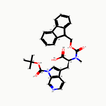 CN(C(=O)OCC1c2ccccc2-c2ccccc21)[C@@H](Cc1cn(C(=O)OC(C)(C)C)c2cnccc12)C(=O)O